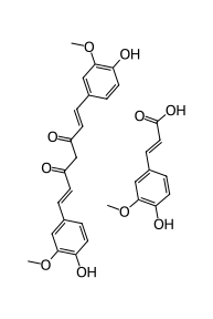 COc1cc(/C=C/C(=O)CC(=O)/C=C/c2ccc(O)c(OC)c2)ccc1O.COc1cc(/C=C/C(=O)O)ccc1O